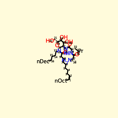 CCCCCCCC/C=C\CCCCCCCC(=O)N(CCCCCCCCCCCCCC)[C@@H]1O[C@H](CO)[C@@H](O)[C@H](O)[C@H]1NC(=O)[C@H](CC(C)C)NC(=O)[C@H](C)N